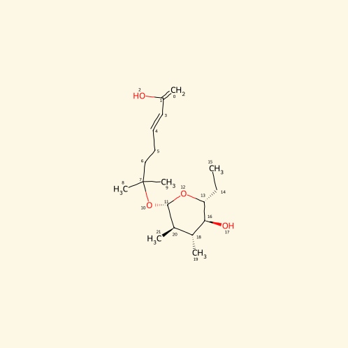 C=C(O)/C=C/CCC(C)(C)O[C@@H]1O[C@H](CC)[C@@H](O)[C@H](C)[C@H]1C